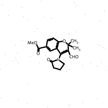 COC(=O)c1ccc2c(c1)C(N1CCCC1=O)=C(C=O)C(C)(C)O2